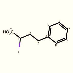 O=C(O)C(I)CCc1ccccc1